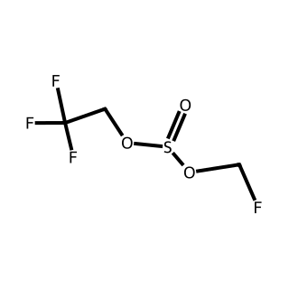 O=S(OCF)OCC(F)(F)F